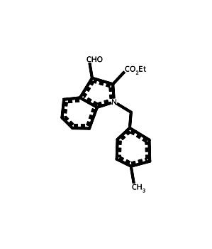 CCOC(=O)c1c(C=O)c2ccccc2n1Cc1ccc(C)cc1